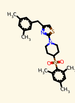 Cc1cc(C)cc(Cc2csc(N3CCC(S(=O)(=O)c4c(C)cc(C)cc4C)CC3)n2)c1